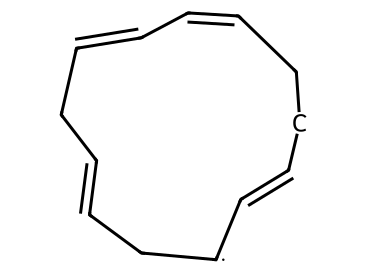 [CH]1/C=C/CC/C=C\C=C\C/C=C/C1